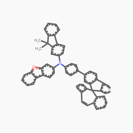 CC1(C)c2ccccc2-c2ccc(N(c3ccc(-c4ccc5c(c4)C4(c6ccccc6C=Cc6ccccc64)c4ccccc4-5)cc3)c3ccc4c(c3)oc3ccccc34)cc21